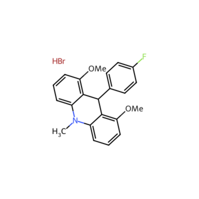 Br.COc1cccc2c1C(c1ccc(F)cc1)c1c(OC)cccc1N2C